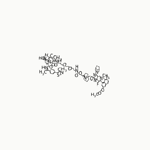 CCc1c(F)ccc2cc(OCOC)cc(-c3ncc4c(N5CC6CCC(C6)C5)nc(OCC56CCCN5[C@@H](COC(=O)NCCOCCOCCC(=O)N[C@H](C(=O)N5C[C@H](O)C[C@H]5C(=O)N[C@@H](C)c5ccc(-c7scnc7C)cc5)C(C)(C)C)CC6)nc4c3F)c12